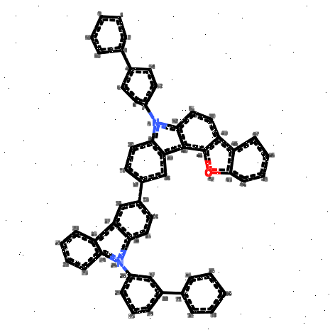 c1ccc(-c2ccc(-n3c4ccc(-c5ccc6c(c5)c5ccccc5n6-c5cccc(-c6ccccc6)c5)cc4c4c5oc6ccccc6c5ccc43)cc2)cc1